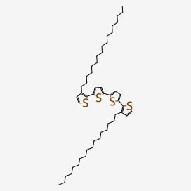 CCCCCCCCCCCCCCCCCc1ccsc1-c1ccc(-c2ccc(-c3sccc3CCCCCCCCCCCCCCCCC)s2)s1